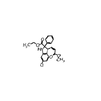 CCOC(=O)C1(c2ccccc2)Nc2cc(Cl)ccc2C1/C=C\C(=O)OC